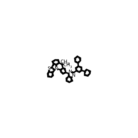 CC1(C)c2cc(-c3nc(-c4cc(-c5ccccc5)cc(-c5ccccc5)c4)nc4ccccc34)ccc2-n2c3c1cccc3c1sc3ccccc3c12